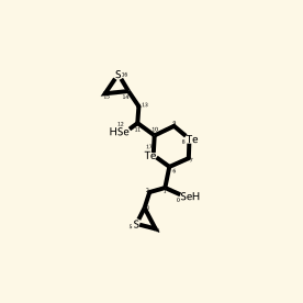 [SeH]C(CC1CS1)C1C[Te]CC(C([SeH])CC2CS2)[Te]1